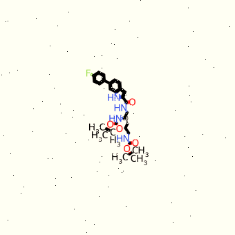 CC(C)(C)OC(=O)NCCC[C@@H](CNC(=O)c1cc2ccc(-c3ccc(F)cc3)cc2[nH]1)NC(=O)OC(C)(C)C